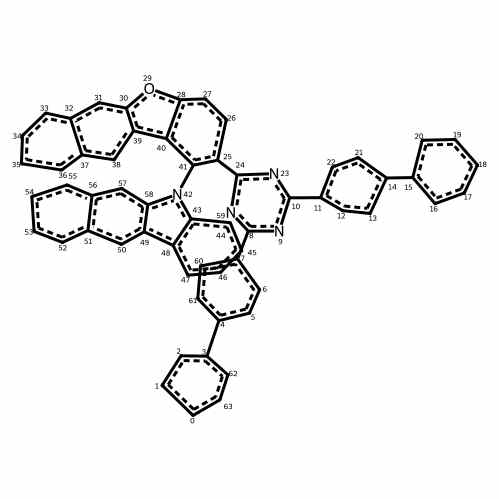 c1ccc(-c2ccc(-c3nc(-c4ccc(-c5ccccc5)cc4)nc(-c4ccc5oc6cc7ccccc7cc6c5c4-n4c5ccccc5c5cc6ccccc6cc54)n3)cc2)cc1